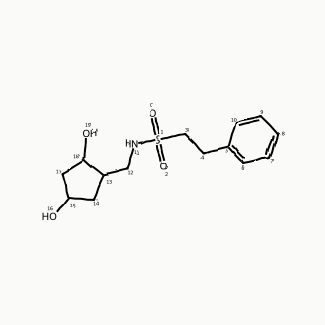 O=S(=O)(CCc1ccccc1)NCC1[CH]C(O)CC1O